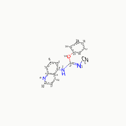 N#C/N=C(/Nc1cccc2ncccc12)Oc1ccccc1